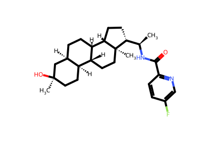 C[C@@H](NC(=O)c1ccc(F)cn1)[C@H]1CC[C@H]2[C@@H]3CC[C@@H]4C[C@](C)(O)CC[C@@H]4[C@H]3CC[C@]12C